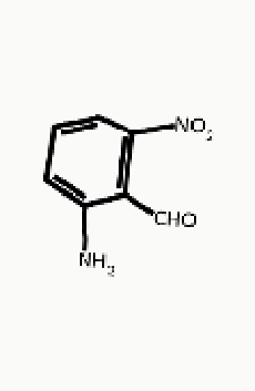 Nc1cccc([N+](=O)[O-])c1C=O